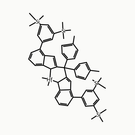 Cc1ccc(C2(c3ccc(C)cc3)C3=Cc4c(-c5cc([Si](C)(C)C)cc([Si](C)(C)C)c5)cccc4[CH]3[Hf]([CH3])([CH3])[CH]3C2=Cc2c(-c4cc([Si](C)(C)C)cc([Si](C)(C)C)c4)cccc23)cc1